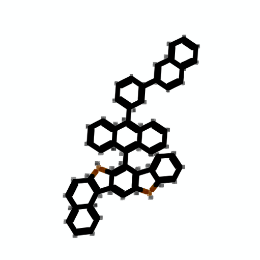 c1cc(-c2ccc3ccccc3c2)cc(-c2c3ccccc3c(-c3c4sc5ccc6ccccc6c5c4cc4sc5ccccc5c34)c3ccccc23)c1